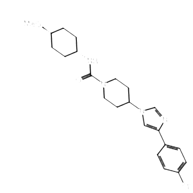 CO[C@H]1CC[C@H](NC(=O)N2CCC(n3cnc(-c4ccc(C(F)(F)F)cc4)c3)CC2)CC1